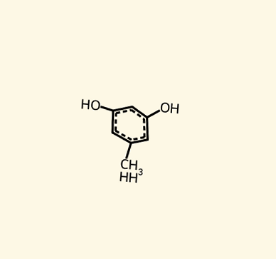 Cc1cc(O)cc(O)c1.[HH]